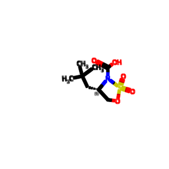 CC(C)(C)C[C@H]1COS(=O)(=O)N1C(=O)O